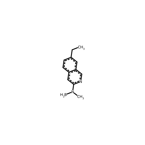 BN(C)c1cc2ccc(CC)cc2cn1